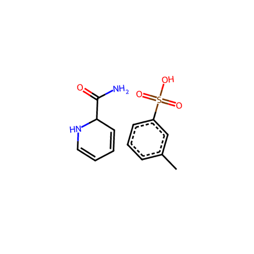 Cc1cccc(S(=O)(=O)O)c1.NC(=O)C1C=CC=CN1